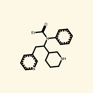 CCC(=O)N(c1ccccc1)C(Cc1cccnc1)C1CCCNC1